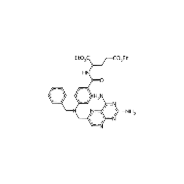 CCOC(=O)CCC(NC(=O)c1ccc(N(Cc2ccccc2)Cc2cnc3nc(N)nc(N)c3n2)cc1)C(=O)OCC